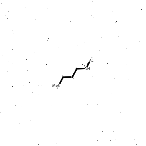 CSCC[CH]NC(C)=O